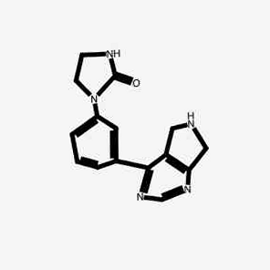 O=C1NCCN1c1cccc(-c2ncnc3c2CNC3)c1